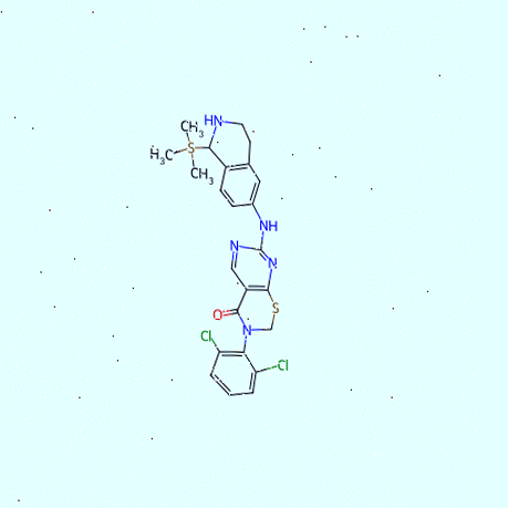 CS(C)(C)C1NCCc2cc(Nc3ncc4c(n3)SCN(c3c(Cl)cccc3Cl)C4=O)ccc21